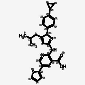 CC(C)Cc1cc(Nc2ncc(-c3cccs3)cc2C(=O)O)nn1-c1ccc(C2CC2)cc1